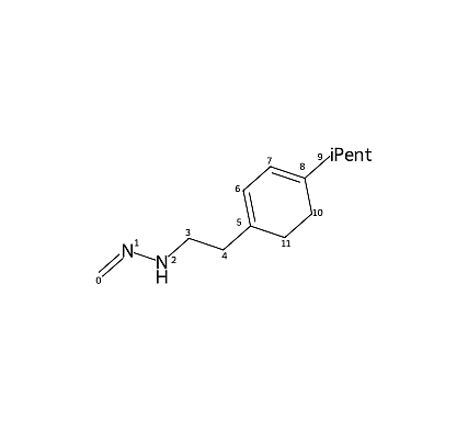 C=NNCCC1=CC=C(C(C)CCC)CC1